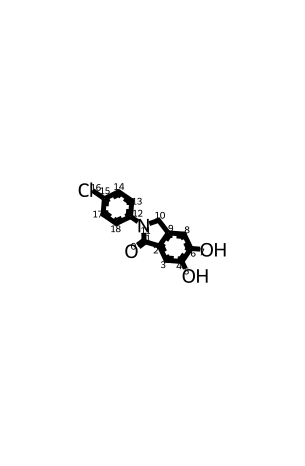 O=C1c2cc(O)c(O)cc2CN1c1ccc(Cl)cc1